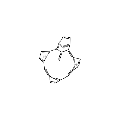 O=C1C2=C3C=CC(=N3)C1=c1ccc([nH]1)=CC1=NC(=Cc3ccc2[nH]3)C=C1